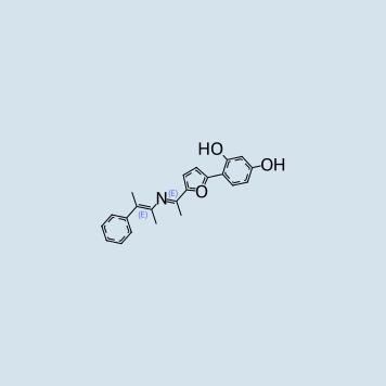 C/C(=N\C(C)=C(/C)c1ccccc1)c1ccc(-c2ccc(O)cc2O)o1